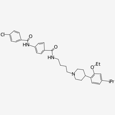 CCOc1cc(C(C)C)ccc1C1CCN(CCCCNC(=O)c2ccc(NC(=O)c3ccc(Cl)cc3)cc2)CC1